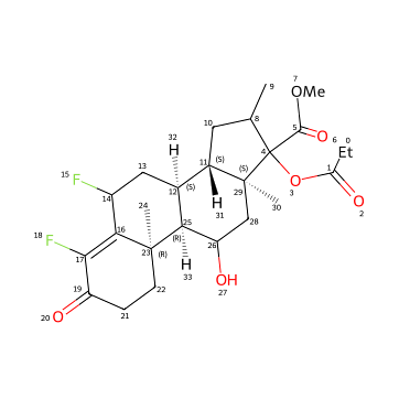 CCC(=O)OC1(C(=O)OC)C(C)C[C@H]2[C@@H]3CC(F)C4=C(F)C(=O)CC[C@]4(C)[C@@H]3C(O)C[C@@]21C